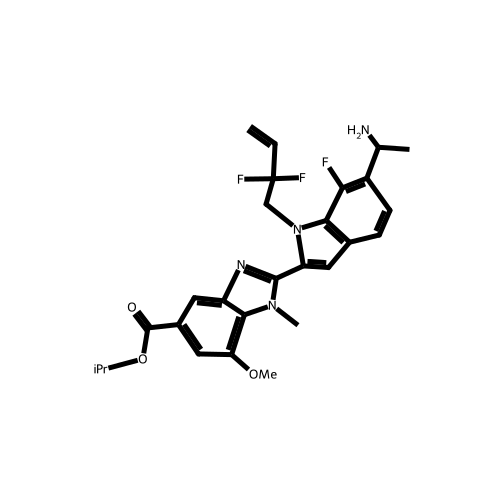 C=CC(F)(F)Cn1c(-c2nc3cc(C(=O)OC(C)C)cc(OC)c3n2C)cc2ccc(C(C)N)c(F)c21